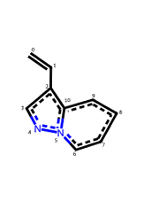 C=Cc1cnn2ccccc12